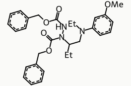 CCC(CN(CC)c1cccc(OC)c1)N(NC(=O)OCc1ccccc1)C(=O)OCc1ccccc1